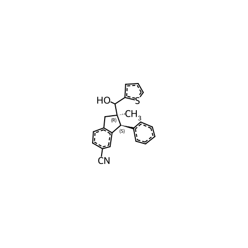 C[C@@]1(C(O)c2cccs2)Cc2ccc(C#N)cc2[C@@H]1c1ccccc1